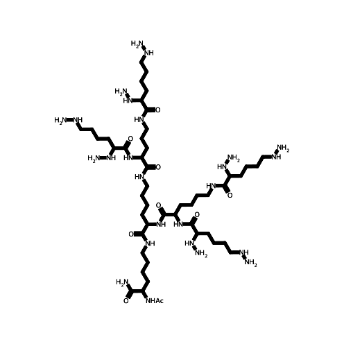 CC(=O)NC(CCCCNC(=O)C(CCCCNC(=O)C(CCCNC(=O)C(CCCCNN)NN)NC(=O)C(CCCCNN)NN)NC(=O)C(CCCCNC(=O)C(CCCCNN)NN)NC(=O)C(CCCCNN)NN)C(N)=O